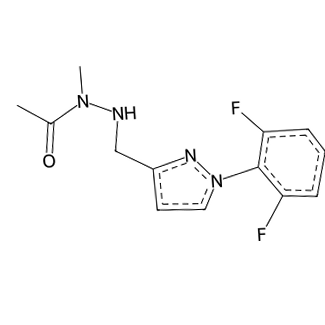 CC(=O)N(C)NCc1ccn(-c2c(F)cccc2F)n1